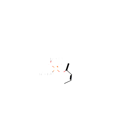 C=C(/C=C\C)OP(=O)(CCCCC)OCCCCC